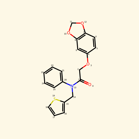 O=C(COc1ccc2c(c1)OCO2)N(Cc1cccs1)c1ccccc1